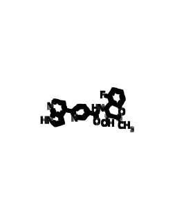 C[C@H]1Oc2cccc(F)c2[C@@H](NC(=O)c2ccc(-c3ccnc4[nH]ccc34)nc2)[C@H]1O